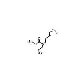 CC=CCCN(CCC(C)C)C(=O)OC(C)(C)C